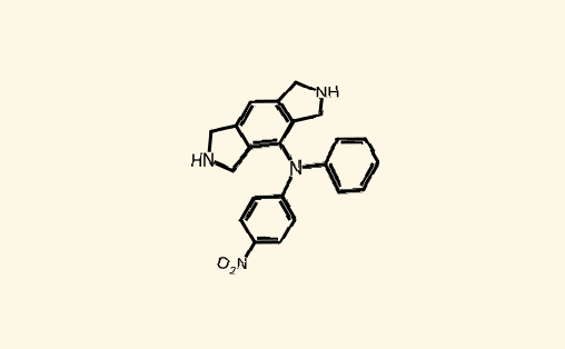 O=[N+]([O-])c1ccc(N(c2ccccc2)c2c3c(cc4c2CNC4)CNC3)cc1